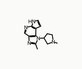 Cc1nc2cnc3[nH]ccc3c2n1C1CCN(C)C1